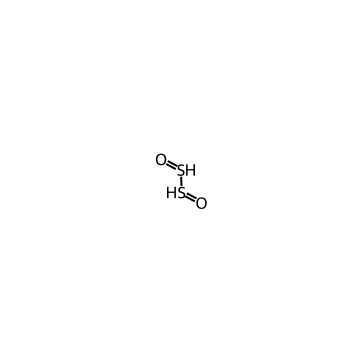 O=[SH][SH]=O